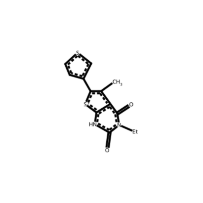 CCn1c(=O)[nH]c2sc(-c3ccsc3)c(C)c2c1=O